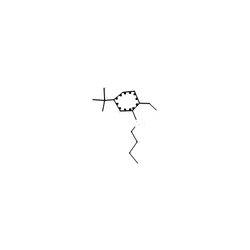 CCCCNc1cc(C(C)(C)C)ccc1CC